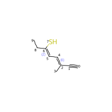 C#C/C(C)=C/C=C(\S)CC